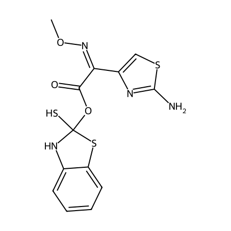 CO/N=C(\C(=O)OC1(S)Nc2ccccc2S1)c1csc(N)n1